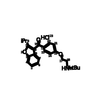 CC(C)c1oc2ccccc2c1C(=O)c1ccc(OCCNC(C)(C)C)cc1.Cl